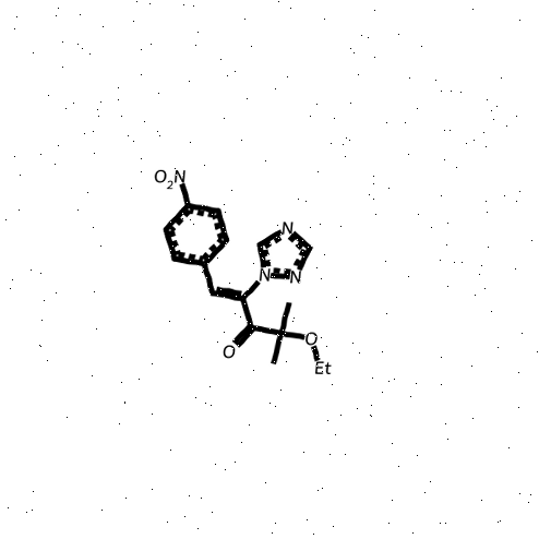 CCOC(C)(C)C(=O)/C(=C/c1ccc([N+](=O)[O-])cc1)n1cncn1